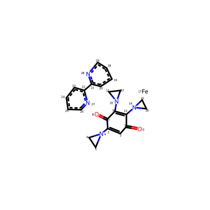 O=C1C=C(N2CC2)C(=O)C(N2CC2)=C1N1CC1.[Fe].c1ccc(-c2ccccn2)nc1